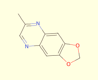 Cc1cnc2cc3c(cc2n1)OCO3